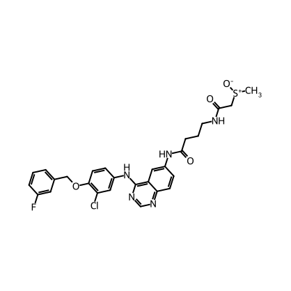 C[S+]([O-])CC(=O)NCCCC(=O)Nc1ccc2ncnc(Nc3ccc(OCc4cccc(F)c4)c(Cl)c3)c2c1